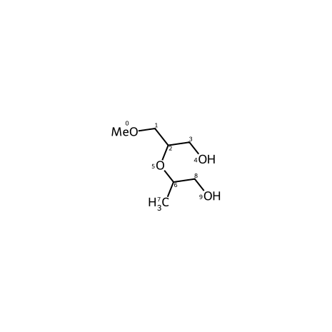 COCC(CO)OC(C)CO